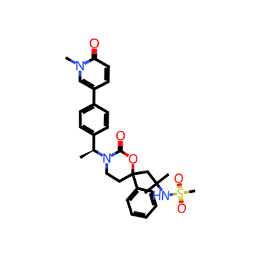 C[C@@H](c1ccc(-c2ccc(=O)n(C)c2)cc1)N1CCC(CC(C)(C)NS(C)(=O)=O)(c2ccccc2)OC1=O